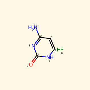 F.Nc1cc[nH]c(=O)n1